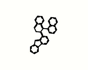 C1=c2ccccc2=C(c2cccc3ccccc23)C(=c2cccc3c2=Cc2ccccc2-3)C1